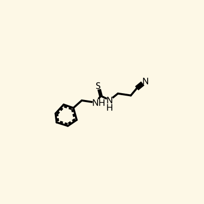 N#CCCNC(=S)NCc1ccccc1